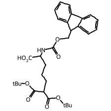 CC(C)(C)OC(=O)C(CCCC(NC(=O)OCC1c2ccccc2-c2ccccc21)C(=O)O)C(=O)OC(C)(C)C